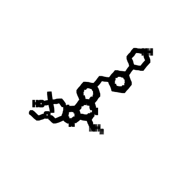 CCOCc1nc2c(N)nc3cc(Cc4cccc(C5CCNCC5)c4)ccc3c2n1CC(C)(C)O